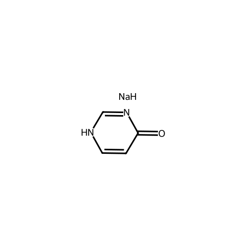 O=c1cc[nH]cn1.[NaH]